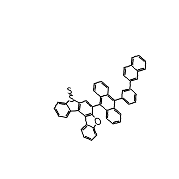 S=S1c2ccccc2-c2c1cc(-c1c3ccccc3c(-c3cccc(-c4ccc5ccccc5c4)c3)c3ccccc13)c1oc3ccccc3c21